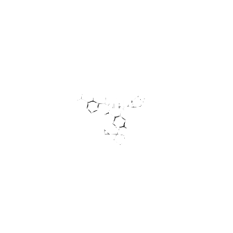 CC(NC(=O)c1cn(C2(C3CC3)CCOC2)c(=O)cc1N[C@@H]1[C@@H]2CN(C)C[C@@H]21)c1cccc(C(F)F)c1F